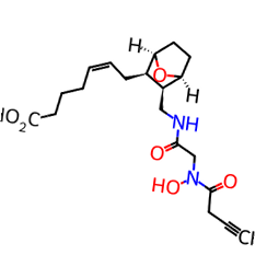 C#CCC(=O)N(O)CC(=O)NC[C@H]1[C@@H](C/C=C\CCCC(=O)O)[C@H]2CC[C@@H]1O2